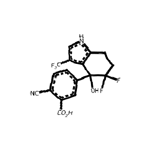 N#Cc1ccc(C2(O)c3c(C(F)(F)F)c[nH]c3CCC2(F)F)cc1C(=O)O